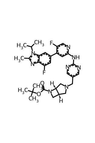 Cc1nc2c(F)cc(-c3cc(Nc4ncc(CN5C[C@@H]6CN(C(=O)OC(C)(C)C)[C@@H]6C5)cn4)ncc3F)cc2n1C(C)C